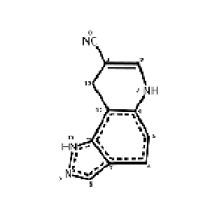 N#CC1=CNc2ccc3cn[nH]c3c2C1